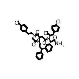 NC(=O)CN(C(=O)CC1C(=O)N(CCc2ccc(Cl)cc2)CC(=O)N1CCC(c1ccccc1)c1ccccc1)C(Cl)Cc1ccc(Cl)cc1